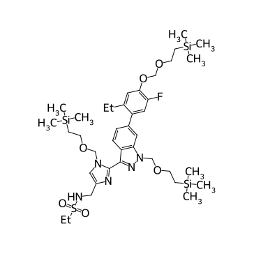 CCc1cc(OCOCC[Si](C)(C)C)c(F)cc1-c1ccc2c(-c3nc(CNS(=O)(=O)CC)cn3COCC[Si](C)(C)C)nn(COCC[Si](C)(C)C)c2c1